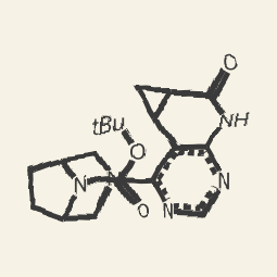 CC(C)(C)OC(=O)N1C2CCC1CN(c1ncnc3c1C1CC1C(=O)N3)C2